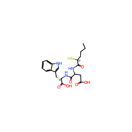 CCCC[C@H](S)C(=O)NC(CC(=O)O)C(=O)N[C@@H](Cc1c[nH]c2ccccc12)C(=O)O